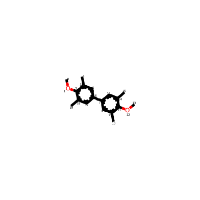 COc1c(C)cc(-c2cc(C)c(OC)c(C)c2)cc1C